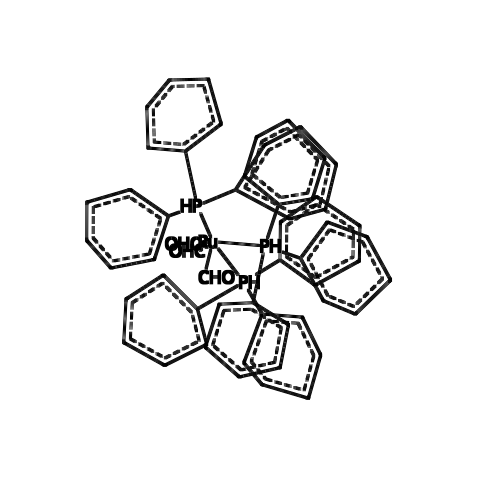 O=[CH][Ru]([CH]=O)([CH]=O)([PH](c1ccccc1)(c1ccccc1)c1ccccc1)([PH](c1ccccc1)(c1ccccc1)c1ccccc1)[PH](c1ccccc1)(c1ccccc1)c1ccccc1